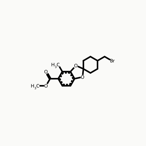 COC(=O)c1ccc2c(c1C)OC1(CCC(CBr)CC1)O2